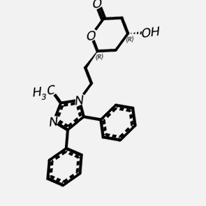 Cc1nc(-c2ccccc2)c(-c2ccccc2)n1CC[C@@H]1C[C@@H](O)CC(=O)O1